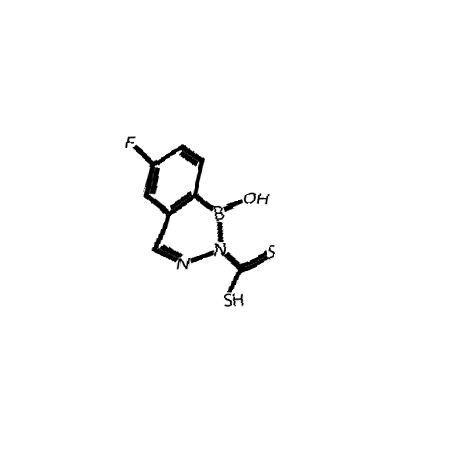 OB1c2ccc(F)cc2C=NN1C(=S)S